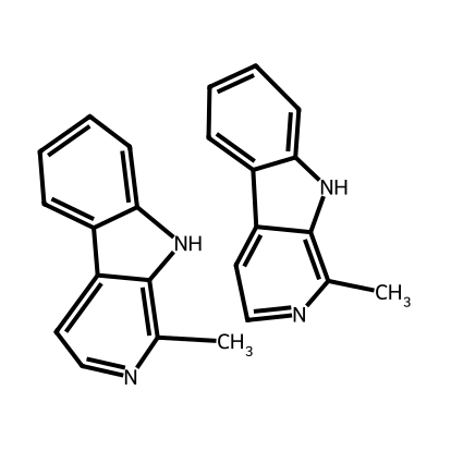 Cc1nccc2c1[nH]c1ccccc12.Cc1nccc2c1[nH]c1ccccc12